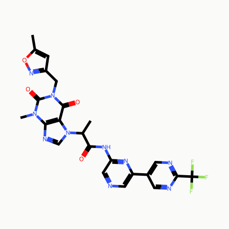 Cc1cc(Cn2c(=O)c3c(ncn3C(C)C(=O)Nc3cncc(-c4cnc(C(F)(F)F)nc4)n3)n(C)c2=O)no1